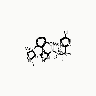 COc1cccc(OC)c1-n1c(NS(=O)(=O)[C@@H](C)[C@H](C)c2ncc(Cl)cn2)nnc1[C@H]1CCO[C@H]1C